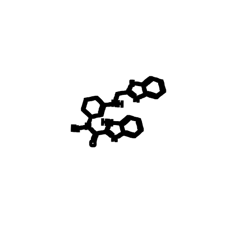 CCN(C(=O)c1nc2ccccc2[nH]1)[C@@H]1C=C(NCc2nc3ccccc3s2)CCC1